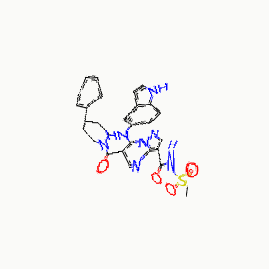 CCS(=O)(=O)NC(=O)c1cnn2c(Nc3ccc4[nH]ccc4c3)c(C(=O)N3CCC(c4ccccc4)CC3)cnc12